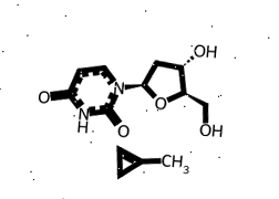 CC1=CC1.O=c1ccn([C@H]2C[C@H](O)[C@@H](CO)O2)c(=O)[nH]1